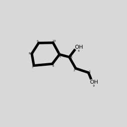 O[CH]CC(O)C1CCCCC1